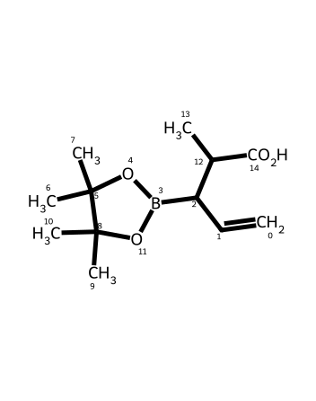 C=CC(B1OC(C)(C)C(C)(C)O1)C(C)C(=O)O